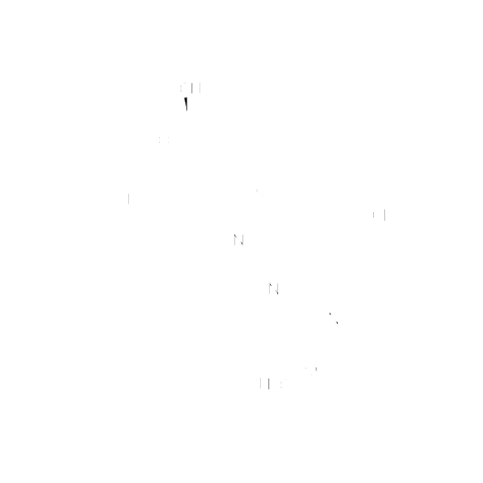 COc1cnc2c(-c3nc4cc(F)c5c(c4s3)C[C@H](C)O5)cc(C)cc2n1